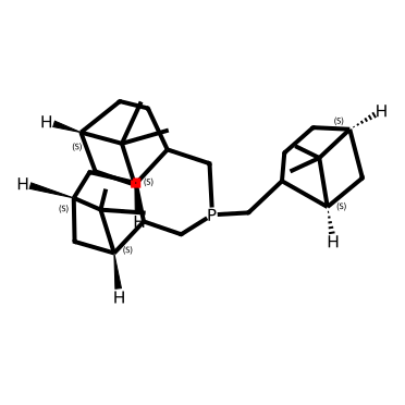 CC1(C)[C@H]2CCC(CP(CC3CC[C@H]4C[C@@H]3C4(C)C)CC3CC[C@H]4C[C@@H]3C4(C)C)[C@@H]1C2